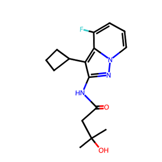 CC(C)(O)CC(=O)Nc1nn2cccc(F)c2c1C1CCC1